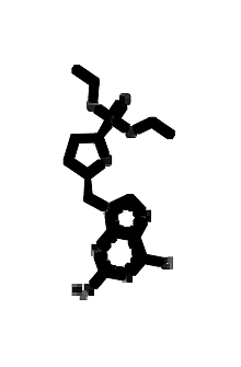 CCOP(=O)(OCC)[C@@H]1CC[C@H](Cn2cnc3c(Cl)nc(N)nc32)O1